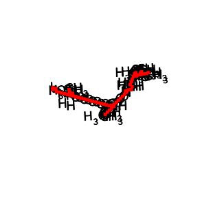 CC(C)(C)OC(=O)CC[C@H](NC(=O)N[C@@H](CCCCNC(=O)Nc1cccc(-c2cn(CCOCCOCCOCCC(=O)N[C@@H](CCCCNC(=O)OC(C)(C)C)C(=O)NCCOCCOCCOCCOCCOCCOCCOCCOCCC(=O)N[C@@H](CCCCNC(=O)CCCc3ccc(I)cc3)C(=O)OC(C)(C)C)nn2)c1)C(=O)OC(C)(C)C)C(=O)OC(C)(C)C